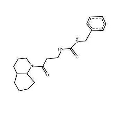 O=C(NCCC(=O)N1CCCC2CCCCC21)NCc1ccccc1